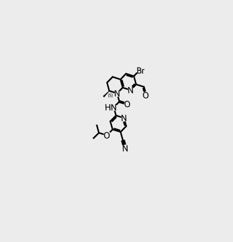 CC(C)Oc1cc(NC(=O)N2c3nc(C=O)c(Br)cc3CC[C@@H]2C)ncc1C#N